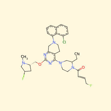 CN1C[C@H](F)C[C@H]1COc1nc2c(c(N3CCN(C(=O)/C=C/CF)C(CC#N)C3)n1)CCN(c1cccc3cccc(Cl)c13)C2